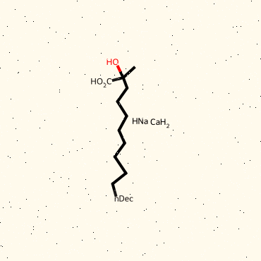 CCCCCCCCCCCCCCCCCCC(C)(O)C(=O)O.[CaH2].[NaH]